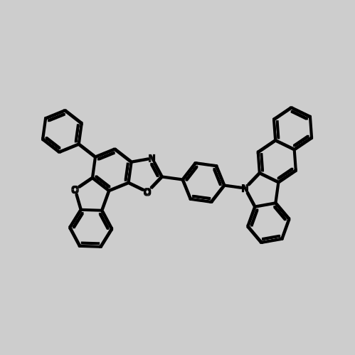 c1ccc(-c2cc3nc(-c4ccc(-n5c6ccccc6c6cc7ccccc7cc65)cc4)oc3c3c2oc2ccccc23)cc1